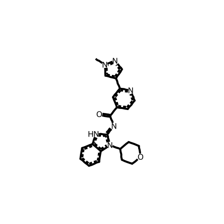 Cn1cc(-c2cc(C(=O)/N=c3\[nH]c4ccccc4n3C3CCOCC3)ccn2)cn1